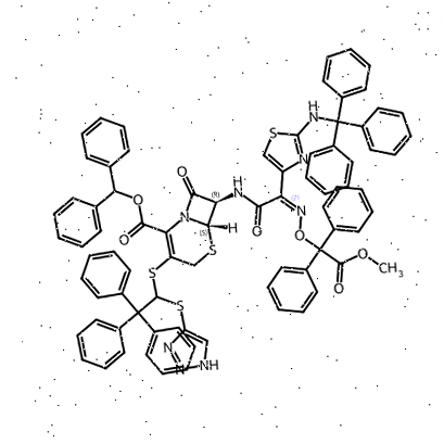 COC(=O)C(O/N=C(\C(=O)N[C@@H]1C(=O)N2C(C(=O)OC(c3ccccc3)c3ccccc3)=C(SC(Sc3c[nH]nn3)C(c3ccccc3)(c3ccccc3)c3ccccc3)CS[C@@H]12)c1csc(NC(c2ccccc2)(c2ccccc2)c2ccccc2)n1)(c1ccccc1)c1ccccc1